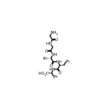 CC(C)C[C@H](NC(=O)[C@@H](NC(=O)CNC(=O)CN)C(C)C)C(=O)N[C@H](C(=O)O)C(C)C